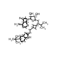 CC(C)N(C[C@H]1O[C@@H](n2cc(F)c3c(N)ncnc32)[C@H](O)[C@@H]1O)C1CC(CCc2nc3cc(C(C)(C)C)ccc3[nH]2)C1